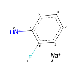 [NH-]c1ccccc1F.[Na+]